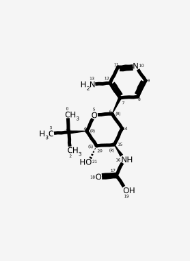 CC(C)(C)[C@H]1O[C@@H](c2ccncc2N)C[C@@H](NC(=O)O)[C@@H]1O